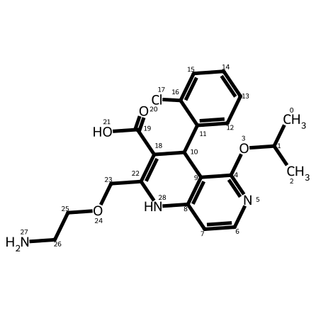 CC(C)Oc1nccc2c1C(c1ccccc1Cl)C(C(=O)O)=C(COCCN)N2